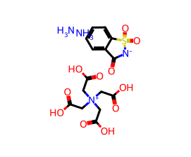 N.N.O=C(O)C[N+](CC(=O)O)(CC(=O)O)CC(=O)O.O=C1[N-]S(=O)(=O)c2ccccc21